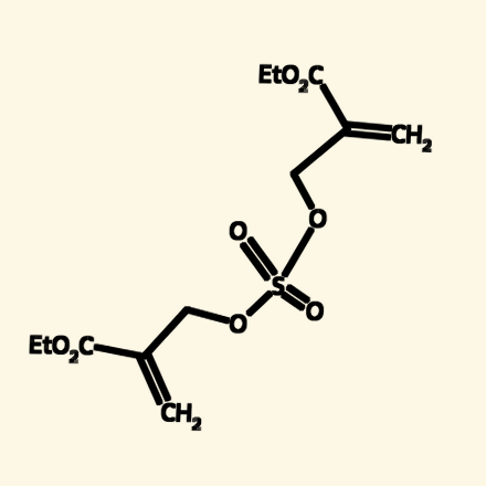 C=C(COS(=O)(=O)OCC(=C)C(=O)OCC)C(=O)OCC